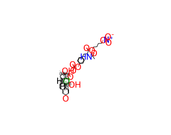 CC(=O)NC(Cc1ccc(OC(=O)OCC(=O)[C@@]2(O)[C@@H](C)C[C@H]3[C@@H]4CCC5=CC(=O)C=C[C@]5(C)[C@@]4(Cl)[C@@H](O)C[C@@]32C)cc1)C(=O)OCCCCO[N+](=O)[O-]